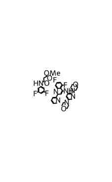 COC(=O)CC(=O)Nc1cc(F)cc(F)c1.Fc1cc(F)c2c(Nc3cc(N4CCOCC4)cnc3N3CCOCC3)cc(-c3ccccn3)nc2c1